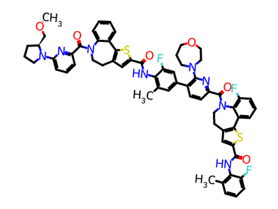 COC[C@@H]1CCCN1c1cccc(C(=O)N2CCc3cc(C(=O)Nc4c(C)cc(-c5ccc(C(=O)N6CCc7cc(C(=O)Nc8c(C)cccc8F)sc7-c7cccc(F)c76)nc5N5CCCOCC5)cc4F)sc3-c3ccccc32)n1